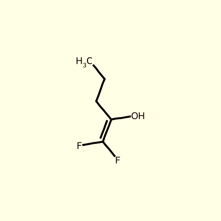 CCCC(O)=C(F)F